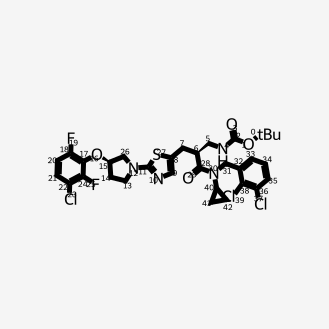 CC(C)(C)OC(=O)NC[C@H](Cc1cnc(N2CC[C@@H](Oc3c(F)ccc(Cl)c3F)C2)s1)C(=O)N(Cc1cccc(Cl)c1Cl)C1CC1